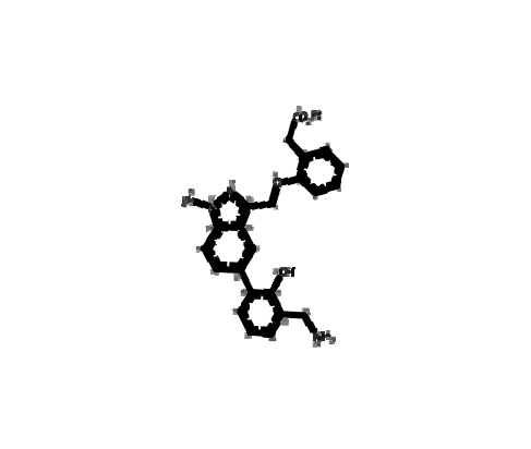 CCOC(=O)Cc1ccccc1OCc1nn(C(C)C)c2ccc(-c3cccc(CN)c3O)cc12